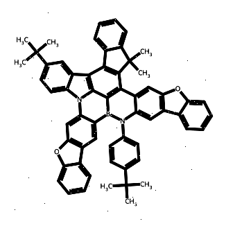 CC(C)(C)c1ccc(N2B3c4cc5c(cc4-n4c6ccc(C(C)(C)C)cc6c6c7c(c(c3c64)-c3cc4oc6ccccc6c4cc32)C(C)(C)c2ccccc2-7)oc2ccccc25)cc1